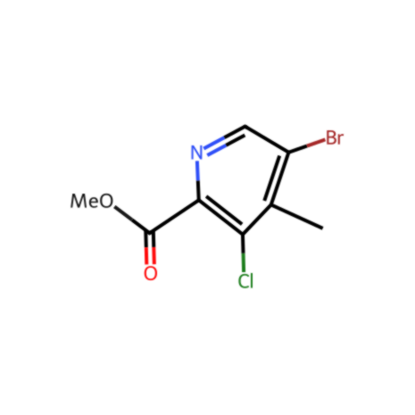 COC(=O)c1ncc(Br)c(C)c1Cl